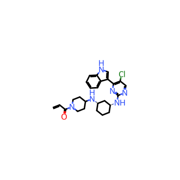 C=CC(=O)N1CCC(N[C@H]2CCC[C@@H](Nc3ncc(Cl)c(-c4c[nH]c5ccccc45)n3)C2)CC1